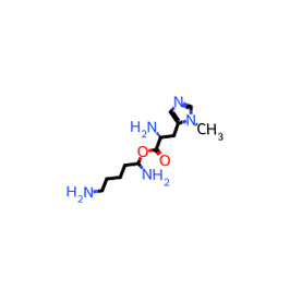 Cn1cncc1C[C@H](N)C(=O)OC(N)CCCCN